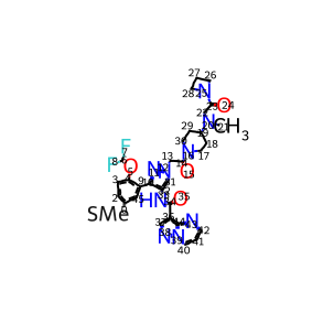 CSc1ccc(OC(F)F)c(-c2nn(CC(=O)N3CCC(N(C)CC(=O)N4CCC4)CC3)cc2NC(=O)c2cnn3cccnc23)c1